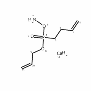 C=CCCP(=O)(ON)OCC=C.[CaH2]